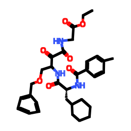 CCOC(=O)CNC(=O)C(=O)C(COCc1ccccc1)NC(=O)[C@@H](CC1CCCCC1)NC(=O)c1ccc(C)cc1